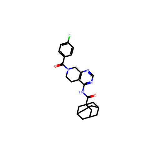 O=C(c1ccc(Cl)cc1)N1CCc2c(ncnc2NC(=O)C23CC4CC(CC(C4)C2)C3)C1